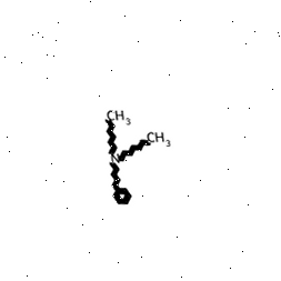 CCCCCCCCN(CCCCCCCC)CCCCCc1ccccc1